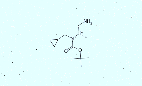 C[C@@H](CN)N(CC1CC1)C(=O)OC(C)(C)C